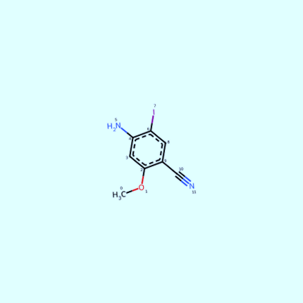 COc1cc(N)c(I)cc1C#N